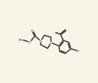 C=C(C)c1cc(Br)ccc1N1CCN(C(=O)OC(C)(C)C)CC1